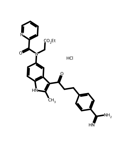 CCOC(=O)CN(C(=O)c1ccccn1)c1ccc2[nH]c(C)c(C(=O)CCc3ccc(C(=N)N)cc3)c2c1.Cl